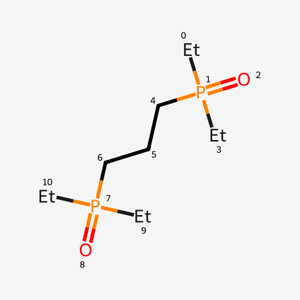 CCP(=O)(CC)CCCP(=O)(CC)CC